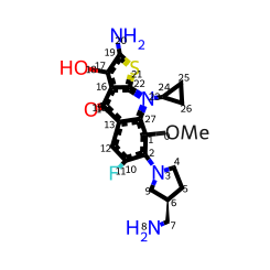 COc1c(N2CC[C@@H](CN)C2)c(F)cc2c(=O)c3c(O)c(N)sc3n(C3CC3)c12